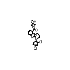 O=C(c1cccc2nc3n(c12)CCCN3c1ccc(Cl)cc1Cl)N1CC(O)C1